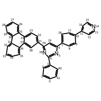 c1ccc(-c2nc(-c3ccc(-c4ccncc4)cc3)cc(-c3ccc4c5ccccc5c5ccccc5c4c3)n2)cc1